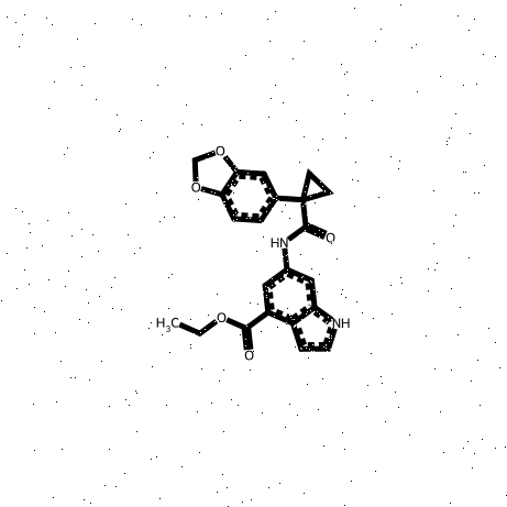 CCOC(=O)c1cc(NC(=O)C2(c3ccc4c(c3)OCO4)CC2)cc2[nH]ccc12